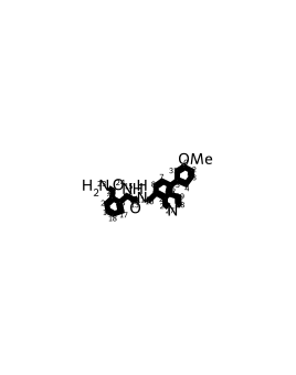 COc1cccc(-c2ccc(CNC(=O)C(=N)c3ccccc3C(N)=O)c3cnccc23)c1